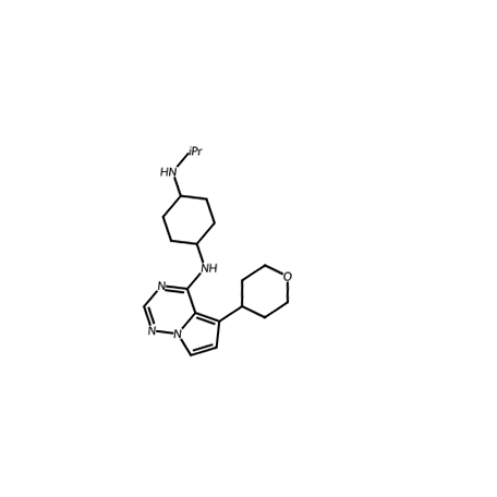 CC(C)NC1CCC(Nc2ncnn3ccc(C4CCOCC4)c23)CC1